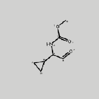 COC(=O)NC(C=O)C1CC1